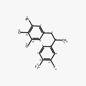 CC(C)c1cc(CC(C)c2ccc(C(F)(F)F)c(F)c2)cc(Cl)c1Cl